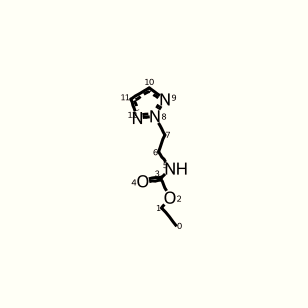 CCOC(=O)NCCn1nccn1